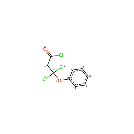 O=C(Cl)CC(Cl)(Cl)Oc1ccccc1